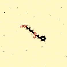 O=C(/C=C/c1ccccc1)OCCCCCCO